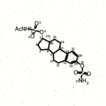 CC(=O)NS(=O)(=O)O[C@H]1CCC2C3CCc4cc(OS(N)(=O)=O)ccc4C3CC[C@@]21C